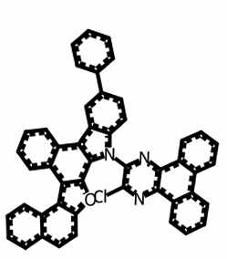 Clc1nc2c3ccccc3c3ccccc3c2nc1-n1c2ccc(-c3ccccc3)cc2c2c3ccccc3c3c(oc4ccc5ccccc5c43)c21